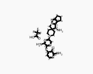 Nc1nc(N2CCC3(CC2)Cn2nc4c(c2[C@H]3N)CCC4)cnc1Sc1ccnc(N)c1Cl.O=C(O)C(F)(F)F